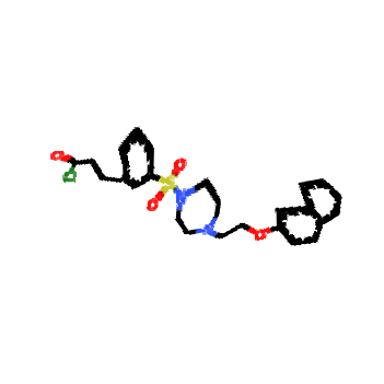 O=C(Cl)C=Cc1cccc(S(=O)(=O)N2CCN(CCOc3ccc4ccccc4c3)CC2)c1